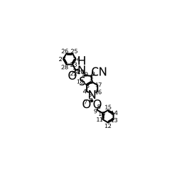 N#CC1C2=C(CN(C(=O)OCc3ccccc3)CC2)SC1NC(=O)c1ccccc1